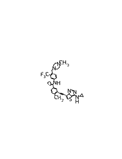 Cc1ccc(C(=O)Nc2ccc(CN3CCN(C)CC3)c(C(F)(F)F)c2)cc1C#Cc1csc2c(NC3CC3)ncnc12